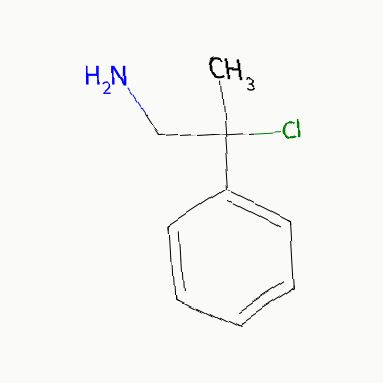 CC(Cl)(CN)c1ccccc1